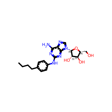 CCCCc1ccc(Nc2nc(N)c3ncn([C@@H]4O[C@H](CO)[C@@H](O)[C@@H]4O)c3n2)cc1